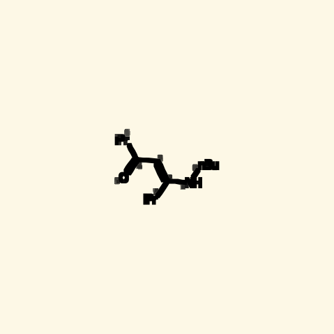 CCCCNC(=CC(=O)C(C)C)C(C)C